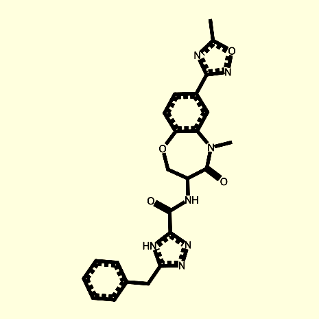 Cc1nc(-c2ccc3c(c2)N(C)C(=O)C(NC(=O)c2nnc(Cc4ccccc4)[nH]2)CO3)no1